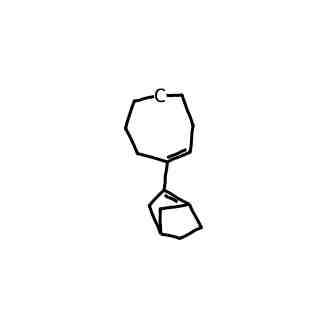 C1=C(C2=C3CCC(C3)C2)CCCCCC1